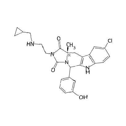 C[C@@]12Cc3c([nH]c4ccc(Cl)cc34)C(c3cccc(O)c3)N1C(=O)N(CCNCC1CC1)C2=O